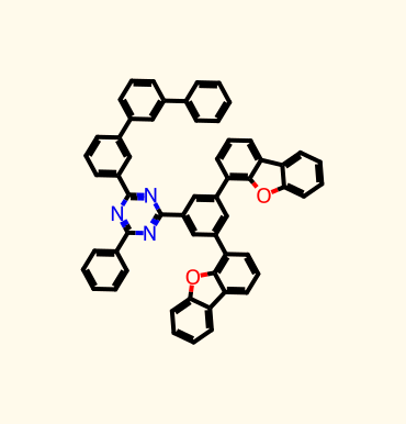 c1ccc(-c2cccc(-c3cccc(-c4nc(-c5ccccc5)nc(-c5cc(-c6cccc7c6oc6ccccc67)cc(-c6cccc7c6oc6ccccc67)c5)n4)c3)c2)cc1